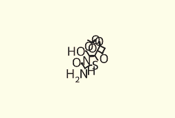 CC(=O)OC1(C2=C(C(=O)O)N3C(=O)[C@@H](N)[C@H]3SC2)C(=O)CC1=O